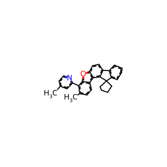 Cc1ccnc(-c2c(C)ccc3c2oc2ccc4c(c23)C2(CCCC2)c2ccccc2-4)c1